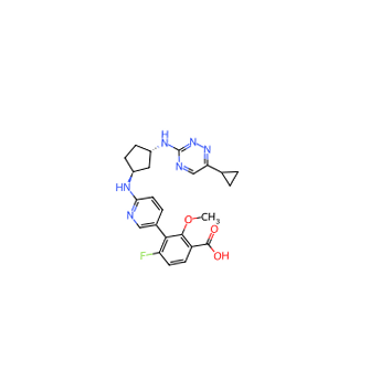 COc1c(C(=O)O)ccc(F)c1-c1ccc(N[C@H]2CC[C@H](Nc3ncc(C4CC4)nn3)C2)nc1